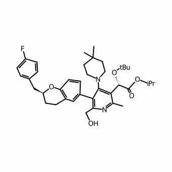 Cc1nc(CO)c(-c2ccc3c(c2)CC[C@@H](Cc2ccc(F)cc2)O3)c(N2CCC(C)(C)CC2)c1[C@H](OC(C)(C)C)C(=O)OC(C)C